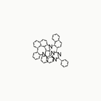 c1ccc(-c2nc(-c3ccccc3)nc(-c3ccc4ccccc4c3-n3c4ccc5cccc6c7ccccc7n7c8ccccc8c3c7c4c56)n2)cc1